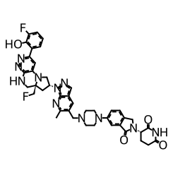 Cc1nc2c(cnn2[C@H]2CN3c4cc(-c5cccc(F)c5O)nnc4NC[C@@]3(CF)C2)cc1CN1CCN(c2ccc3c(c2)C(=O)N([C@H]2CCC(=O)NC2=O)C3)CC1